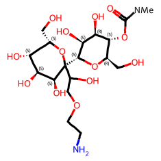 CNC(=O)O[C@H]1[C@H](O)[C@H](O)[C@@H](C2(C(O)COCCN)O[C@@H](CO)[C@@H](O)[C@H](O)[C@@H]2O)O[C@@H]1CO